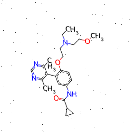 CCN(CCOC)CCOc1ccc(NC(=O)C2CC2)cc1-c1c(C)ncnc1C